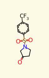 O=C1CCN(S(=O)(=O)c2ccc(C(F)(F)F)cc2)C1